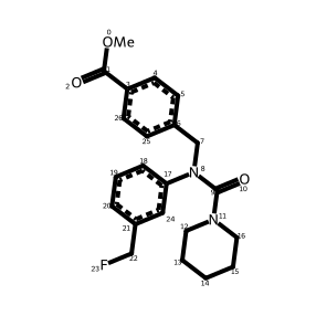 COC(=O)c1ccc(CN(C(=O)N2CCCCC2)c2cccc(CF)c2)cc1